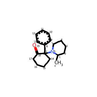 CC1CCCCN1C1(c2ccccc2)CCCCC1=O